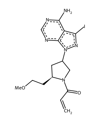 C=CC(=O)N1CC(n2nc(I)c3c(N)ncnc32)C[C@@H]1CCOC